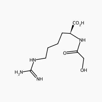 N=C(N)NCCCC[C@H](NC(=O)CO)C(=O)O